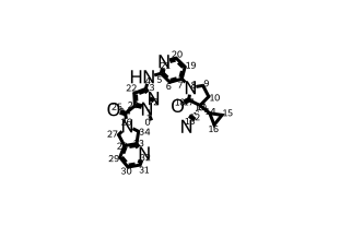 Cn1nc(Nc2cc(N3CC[C@@](C#N)(C4CC4)C3=O)ccn2)cc1C(=O)N1Cc2cccnc2C1